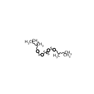 CC(C)CCCC(C)CCc1ccc(Sc2cccc(Sc3csc4cc(Sc5ccc(CCC(C)CCCC(C)C)cc5)ccc34)c2)cc1